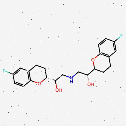 OC(CNC[C@@H](O)C1CCc2cc(F)ccc2O1)[C@H]1CCc2cc(F)ccc2O1